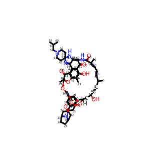 C/C1=C/C=C/C(C)CCC(O)C[C@H](OC(=O)CC(=O)N2C3CCC2CC(c2ccccc2)C3)CC/C=C/OC2(C)Oc3c(C)c(O)c4c(c3C2=O)C2=NC3(CCN(CC(C)C)CC3)NC2=C(NC1=O)C4=O